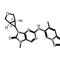 Cc1cc2ncnn2cc1Nc1ncc2c(n1)n(C1[C@H]3COC[C@@H]13)c(=O)n2C